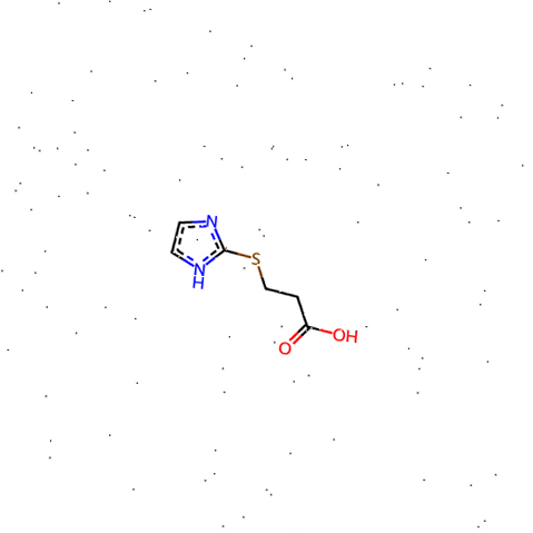 O=C(O)CCSc1ncc[nH]1